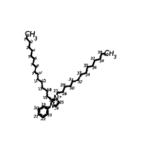 CCCCCCCCCCCCCCCCc1n(-c2ccccc2)cc[n+]1CCCCCCCCCCCCCC